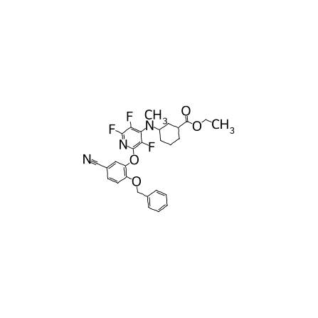 CCOC(=O)C1CCCC(N(C)c2c(F)c(F)nc(Oc3cc(C#N)ccc3OCc3ccccc3)c2F)C1